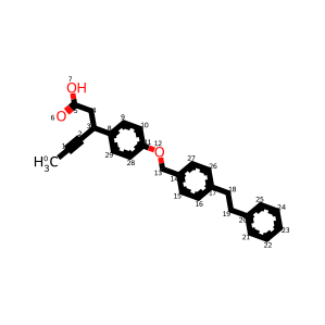 CC#CC(CC(=O)O)c1ccc(OCc2ccc(CCc3ccccc3)cc2)cc1